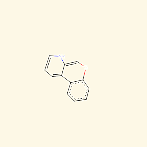 C1=CNC2=COc3ccccc3C2=C1